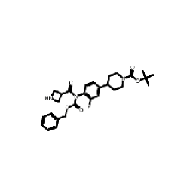 CC(C)(C)OC(=O)N1CCC(c2ccc(N(C(=O)OCc3ccccc3)C(=O)C3CNC3)c(F)c2)CC1